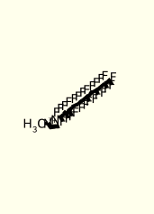 C[n+]1ccn(C(F)(F)C(F)(F)C(F)(F)C(F)(F)C(F)(F)C(F)(F)C(F)(F)C(F)(F)C(F)(F)C(F)(F)C(F)(F)C(F)(F)F)c1